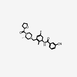 CC1=C(CN2CCN(C(=O)[C@H]3CCCO3)[C@@H](C)C2)C=C(F)CC1NC(=O)c1cccc(C#N)c1